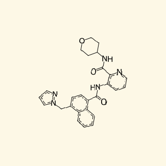 O=C(NC1CCOCC1)c1ncccc1NC(=O)c1ccc(Cn2cccn2)c2ccccc12